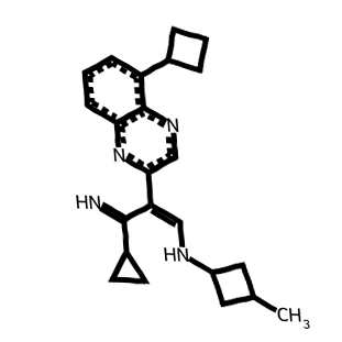 CC1CC(N/C=C(\C(=N)C2CC2)c2cnc3c(C4CCC4)cccc3n2)C1